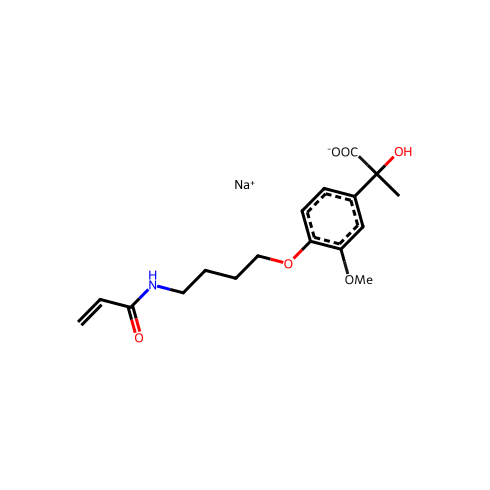 C=CC(=O)NCCCCOc1ccc(C(C)(O)C(=O)[O-])cc1OC.[Na+]